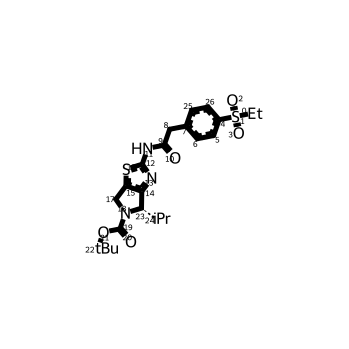 CCS(=O)(=O)c1ccc(CC(=O)Nc2nc3c(s2)CN(C(=O)OC(C)(C)C)[C@H]3C(C)C)cc1